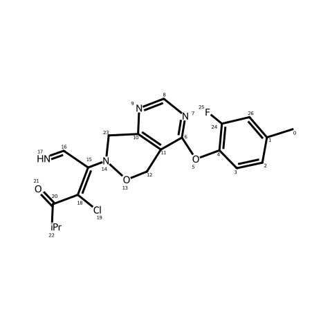 Cc1ccc(Oc2ncnc3c2CON(/C(C=N)=C(\Cl)C(=O)C(C)C)C3)c(F)c1